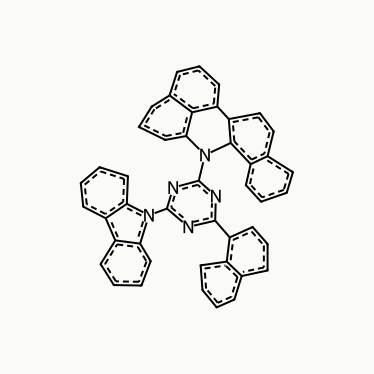 c1ccc2c(-c3nc(N4c5c(ccc6ccccc56)-c5cccc6cccc4c56)nc(-n4c5ccccc5c5ccccc54)n3)cccc2c1